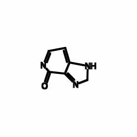 O=C1N=CC=C2NCN=C12